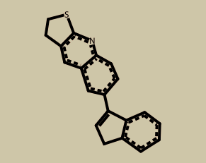 C1=C(c2ccc3nc4c(cc3c2)CCS4)c2ccccc2C1